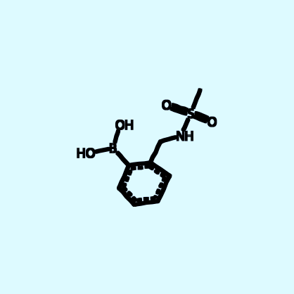 CS(=O)(=O)NCc1ccccc1B(O)O